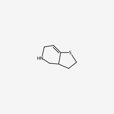 C1=C2SCCC2CNC1